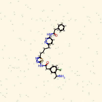 CC(N)c1cc(CC(=O)Nc2nnc(CCCCc3ccc(NC(=O)Cc4ccccc4)nn3)s2)ccc1F